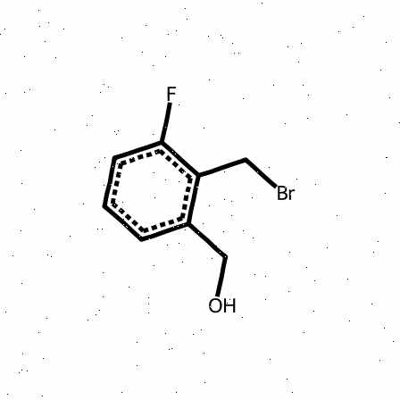 OCc1cccc(F)c1CBr